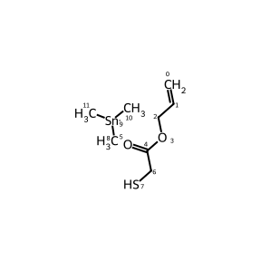 C=CCOC(=O)CS.[CH3][Sn]([CH3])[CH3]